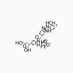 Cc1ccccc1Nc1nc2ccc(CC(=O)Nc3ccc(C(CCCO)CC(=O)O)cc3)cc2[nH]1.O=C([O-])C(F)(F)F.[Li+]